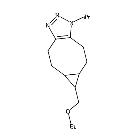 CCOCC1C2CCc3nnn(C(C)C)c3CCC21